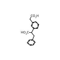 O=C(O)Cc1cccc(C(Cc2ccccc2)C(=O)O)c1